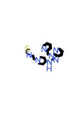 S=C=NCCN1CCC(Nc2nc3cccnc3n2Cc2ccccn2)CC1